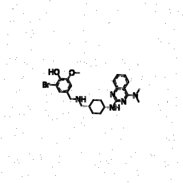 COc1cc(CNC[C@H]2CC[C@@H](Nc3nc(N(C)C)c4ccccc4n3)CC2)cc(Br)c1O